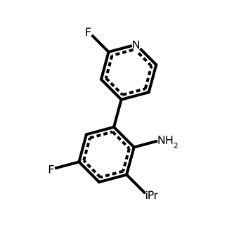 CC(C)c1cc(F)cc(-c2ccnc(F)c2)c1N